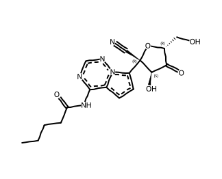 CCCCC(=O)Nc1ncnn2c([C@]3(C#N)O[C@H](CO)C(=O)[C@H]3O)ccc12